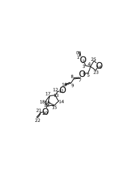 C=COCC1(CO/C=C/C=C/OCC2CC3CC2CC3OC=C)COC1